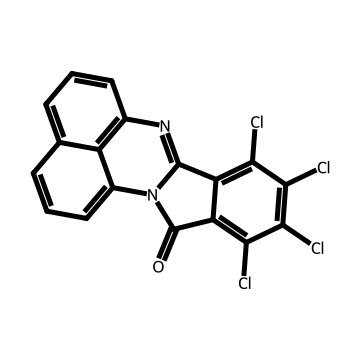 O=C1c2c(Cl)c(Cl)c(Cl)c(Cl)c2C2=Nc3cccc4cccc(c34)N12